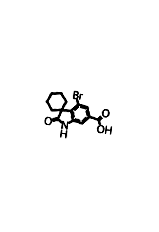 O=C(O)c1cc(Br)c2c(c1)NC(=O)C21CCCCC1